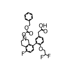 O=C(O)Cc1ccc(OCC(F)F)c(-c2ccc(F)c3c2CN(OC(=O)OCc2ccccc2)CC3)c1